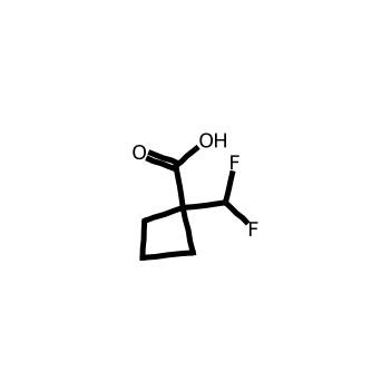 O=C(O)C1(C(F)F)CCC1